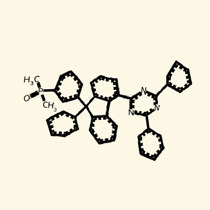 CP(C)(=O)c1cccc(C2(c3ccccc3)c3ccccc3-c3c(-c4nc(-c5ccccc5)nc(-c5ccccc5)n4)cccc32)c1